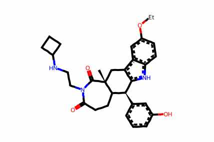 CCOc1ccc2[nH]c3c(c2c1)C[C@@]1(C)C(=O)N(CCNC2CCC2)C(=O)CCC1[C@@H]3c1cccc(O)c1